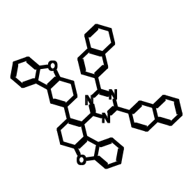 C1=Cc2ccc(-c3nc(C4=C(C5=Cc6c(oc7ccccc67)CC5)CCc5oc6ccccc6c54)nc(-c4ccc5ccccc5c4)n3)cc2CC1